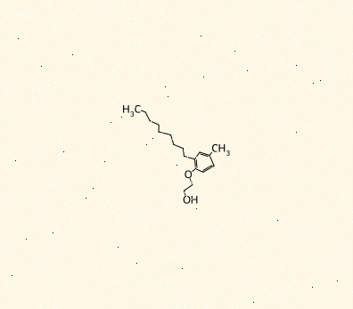 CCCCCCCCCc1cc(C)ccc1OCCO